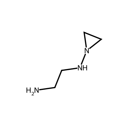 NCCNN1CC1